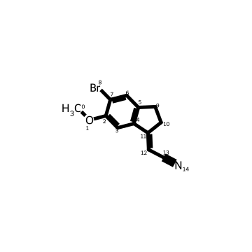 COc1cc2c(cc1Br)CC/C2=C\C#N